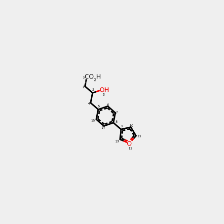 O=C(O)CC(O)Cc1ccc(-c2ccoc2)cc1